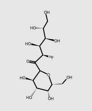 O=C(C1O[C@H](CO)[C@H](O)[C@H](O)[C@H]1O)[C@H]([18F])[C@@H](O)[C@H](O)[C@H](O)CO